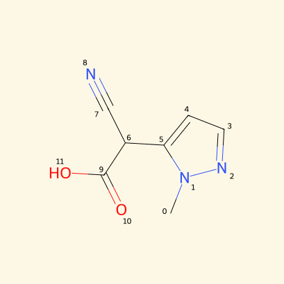 Cn1nccc1C(C#N)C(=O)O